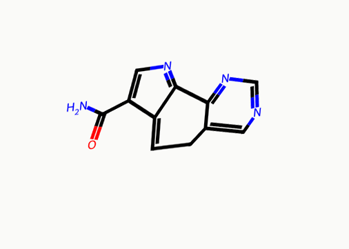 NC(=O)C1=CN=C2C1=CCc1cncnc12